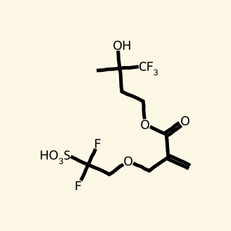 C=C(COCC(F)(F)S(=O)(=O)O)C(=O)OCCC(C)(O)C(F)(F)F